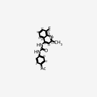 CC(=O)c1ccc(NC(=O)Nc2cc(C)nc3c(F)cccc23)cc1